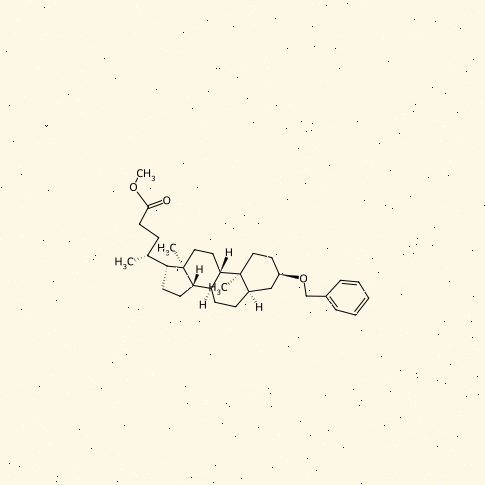 COC(=O)CC[C@@H](C)[C@H]1CC[C@H]2[C@@H]3CC[C@@H]4C[C@H](OCc5ccccc5)CC[C@]4(C)[C@H]3CC[C@]12C